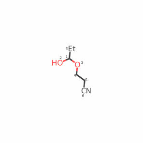 [CH2]CC(O)OCCC#N